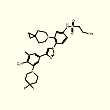 Cc1cc(-c2cn(-c3ccc(NS(=O)(=O)CCO)cc3N3CCC4(CC3)CC4)nn2)cc(N2CCC(F)(F)CC2)c1[N+](=O)[O-]